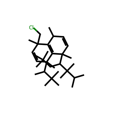 CC1C=CC(C)(C(CC(C)(C)C)C(C)(C)C(C)C)C2=C1C(C)(CCl)C=CC2(C)C(C)C(C)(C)C